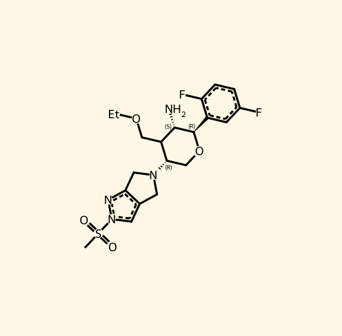 CCOCC1[C@H](N)[C@@H](c2cc(F)ccc2F)OC[C@@H]1N1Cc2cn(S(C)(=O)=O)nc2C1